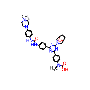 CN1CCN(c2ccc(NC(=O)Nc3ccc(-c4nc(-c5ccc(N(C)C(=O)O)cc5)nc(N5CC6CCC(C5)O6)n4)cc3)cc2)CC1